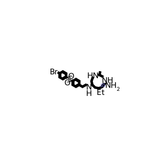 CCC1/C=C(/N)NCC(C)NCCC(NCCc2ccc(S(=O)(=O)c3ccc(Br)cc3)cc2)C1